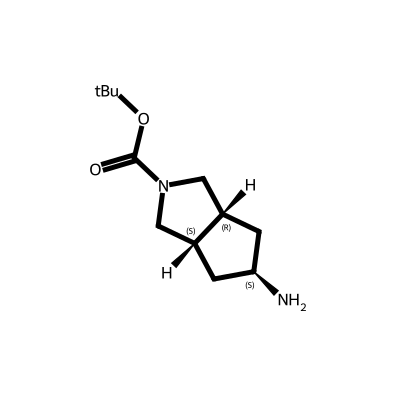 CC(C)(C)OC(=O)N1C[C@H]2C[C@H](N)C[C@H]2C1